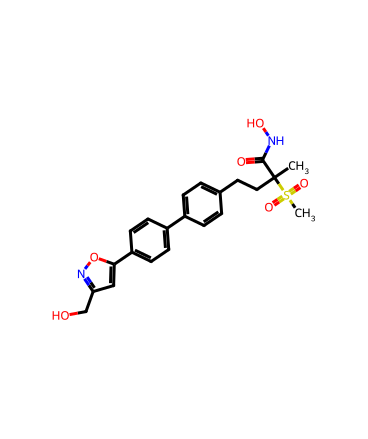 CC(CCc1ccc(-c2ccc(-c3cc(CO)no3)cc2)cc1)(C(=O)NO)S(C)(=O)=O